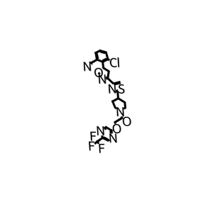 N#Cc1cccc(Cl)c1C1CC(c2csc(C3CCN(C(=O)COc4cnc(C(F)(F)F)cn4)CC3)n2)=NO1